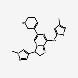 Cc1cc(NC2=NC(C3=CCCNC3)=CN3C2=NCC3c2cnn(C)c2)sn1